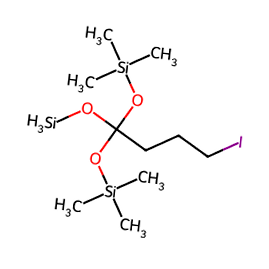 C[Si](C)(C)OC(CCCI)(O[SiH3])O[Si](C)(C)C